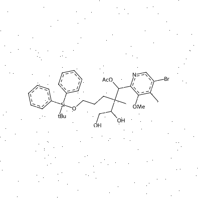 COc1c(C(OC(C)=O)C(C)(CCCO[Si](c2ccccc2)(c2ccccc2)C(C)(C)C)C(O)CO)ncc(Br)c1C